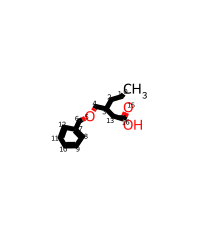 CCCC(COCc1ccccc1)CC(=O)O